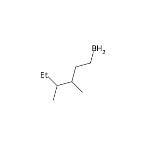 BCCC(C)C(C)CC